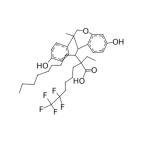 CCCCCCCCC(C1c2ccc(O)cc2OCC1(C)c1ccc(O)cc1)C(CC)(CCCCC(F)(F)C(F)(F)F)C(=O)O